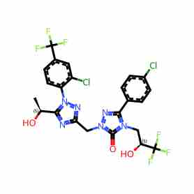 C[C@H](O)c1nc(Cn2nc(-c3ccc(Cl)cc3)n(C[C@H](O)C(F)(F)F)c2=O)nn1-c1ccc(C(F)(F)F)cc1Cl